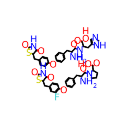 NC(Cc1ccc(Oc2ccc(CC3SC(=O)NC3=O)cc2)cc1)C(=O)NC(Cc1cnc[nH]1)C(=O)O.NC(Cc1ccc(Oc2ccc(CC3SC(=O)NC3=O)cc2F)cc1)C(=O)N1CCCC1C(=O)O